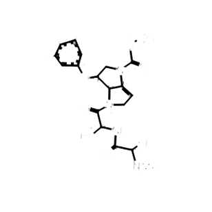 CNC(C)C(=O)NC(C(=O)N1CC=C2C1C(Oc1ccccc1)CN2C(=O)OC(C)(C)C)C(C)C